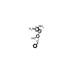 Nc1nc(N)c2ncn([C@@H]3C[C@H](COCc4ccccc4)[C@@H](O)C3)c2n1